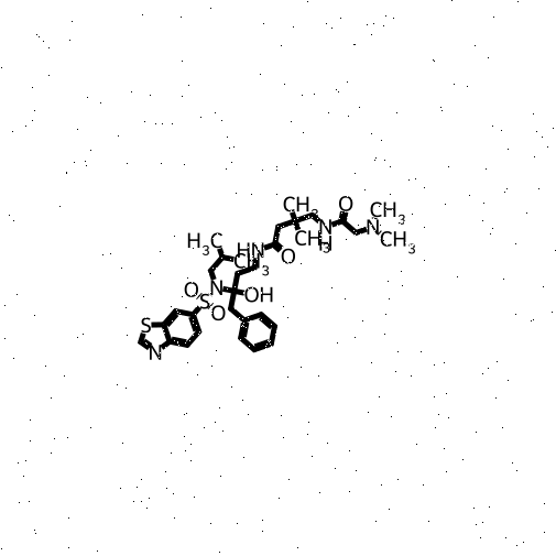 CC(C)CN(C(O)(CCNC(=O)CC(C)(C)CNC(=O)CN(C)C)Cc1ccccc1)S(=O)(=O)c1ccc2ncsc2c1